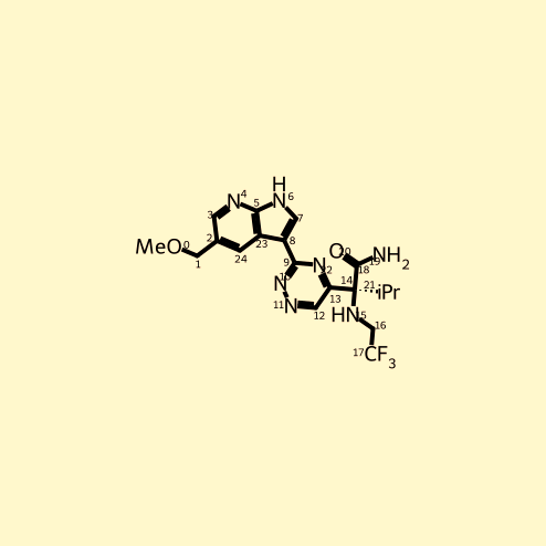 COCc1cnc2[nH]cc(-c3nncc([C@](NCC(F)(F)F)(C(N)=O)C(C)C)n3)c2c1